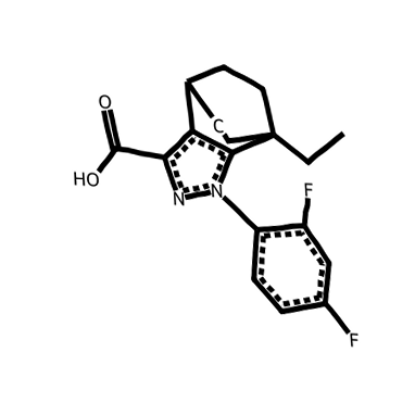 CCC12CCC(CC1)c1c(C(=O)O)nn(-c3ccc(F)cc3F)c12